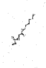 C=CC(=O)OCC(=O)OCCCCCC(C)C